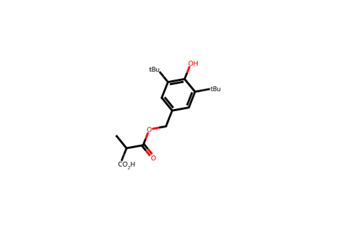 CC(C(=O)O)C(=O)OCc1cc(C(C)(C)C)c(O)c(C(C)(C)C)c1